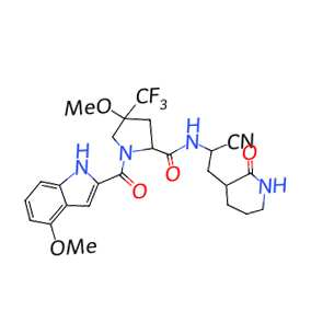 COc1cccc2[nH]c(C(=O)N3CC(OC)(C(F)(F)F)CC3C(=O)NC(C#N)CC3CCCNC3=O)cc12